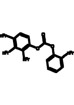 CCCc1ccccc1OC(=O)Oc1ccc(CCC)c(CCC)c1CCC